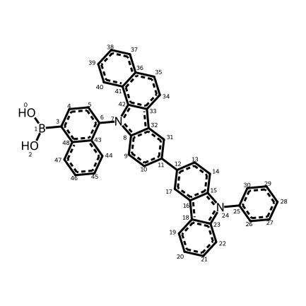 OB(O)c1ccc(-n2c3ccc(-c4ccc5c(c4)c4ccccc4n5-c4ccccc4)cc3c3ccc4ccccc4c32)c2ccccc12